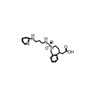 O=C(O)CC1CCN(S(=O)(=O)NCCCNc2ccccn2)Cc2ccccc21